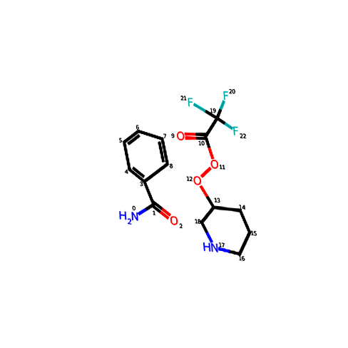 NC(=O)c1ccccc1.O=C(OOC1CCCNC1)C(F)(F)F